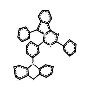 c1ccc(-c2nc(-c3cccc(N4c5ccccc5Cc5ccccc54)c3)n3c(-c4ccccc4)c4ccccc4c3n2)cc1